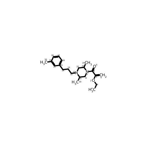 C=C(OCC)C(=O)N1CC(C)N(CCCc2cccc(C)c2)CC1C